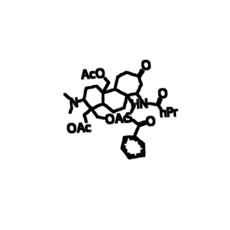 CCCC(=O)NC1CC(=O)CCC2C1(CSC(=O)c1ccccc1)CCC1C(COC(C)=O)(COC(C)=O)C(N(C)C)CCC21COC(C)=O